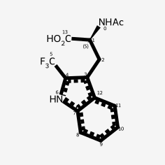 CC(=O)N[C@@H](Cc1c(C(F)(F)F)[nH]c2ccccc12)C(=O)O